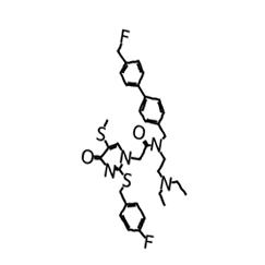 CCN(CC)CCN(Cc1ccc(-c2ccc(CF)cc2)cc1)C(=O)Cn1cc(SC)c(=O)nc1SCc1ccc(F)cc1